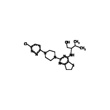 CC(C)C(CO)Nc1nc(N2CCN(c3ccc(Cl)nn3)CC2)nc2c1SCC2